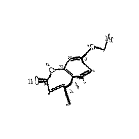 CC(=O)COc1ccc2c(C)cc(=O)oc2c1